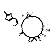 CC[C@H]1C(=O)C(C)(C)[C@@H](O)CC(=O)O[C@H](C(Cl)=Cc2csc(C)n2)C[C@H]2O[C@@]2(C)CCC[C@H](C)[C@@H]1O